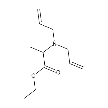 C=CCN(CC=C)C(C)C(=O)OCC